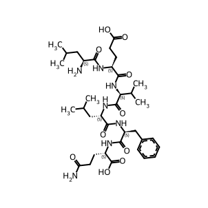 CC(C)C[C@H](NC(=O)[C@@H](NC(=O)[C@H](CCC(=O)O)NC(=O)[C@@H](N)CC(C)C)C(C)C)C(=O)N[C@@H](Cc1ccccc1)C(=O)N[C@@H](CCC(N)=O)C(=O)O